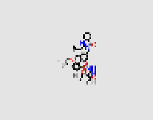 CCOCc1cc(CN2C(=O)C3CCCCC3N=C2CC2CC2)ccc1-c1ccccc1S(=O)(=O)Nc1noc(C)c1C